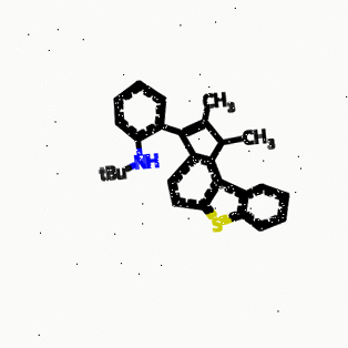 CC1=C(c2ccccc2NC(C)(C)C)c2ccc3sc4ccccc4c3c2C1C